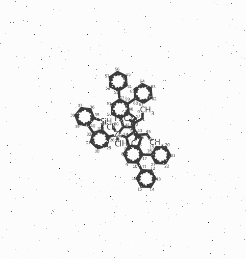 CCC(C)C1=Cc2c(ccc(-c3ccccc3)c2-c2ccccc2)[CH]1[Zr]([Cl])([Cl])([c]1cccc2c1[SiH2]c1ccccc1-2)[CH]1C(C(C)CC)=Cc2c1ccc(-c1ccccc1)c2-c1ccccc1